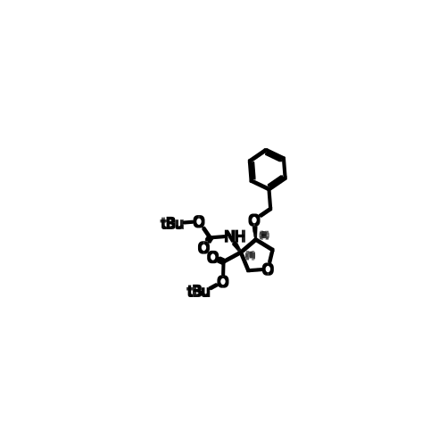 CC(C)(C)OC(=O)N[C@]1(C(=O)OC(C)(C)C)COC[C@@H]1OCc1ccccc1